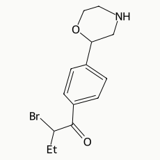 CCC(Br)C(=O)c1ccc(C2CNCCO2)cc1